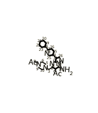 CC(=O)c1c(CN2CCN(C(C)=O)CC2)nc2c(-c3ccc(-c4ccccc4)nc3)cnn2c1N